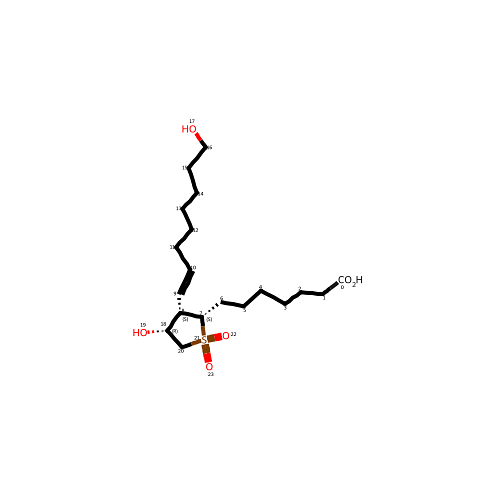 O=C(O)CCCCCC[C@H]1[C@@H](C=CCCCCCCO)[C@@H](O)CS1(=O)=O